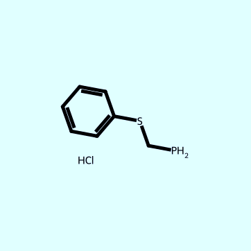 Cl.PCSc1ccccc1